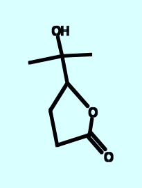 CC(C)(O)C1CCC(=O)O1